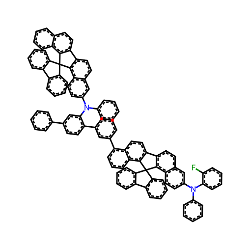 Fc1ccccc1N(c1ccccc1)c1ccc2c3c(ccc2c1)-c1ccc2c(-c4cccc(-c5ccc(-c6ccccc6)cc5N(c5ccccc5)c5ccc6c7c(ccc6c5)-c5ccc6ccccc6c5C75c6ccccc6-c6ccccc65)c4)cccc2c1C31c2ccccc2-c2ccccc21